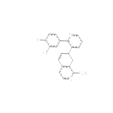 Nc1nccc2c1CC(c1cccnc1-c1ccc(F)c(Cl)c1)C=C2